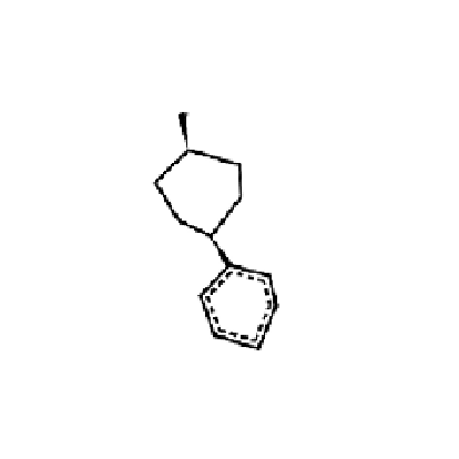 [CH2][C@H]1CC[C@@H](c2ccccc2)CC1